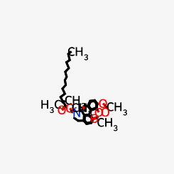 CCCCCCCCCCCCC(C)(C)C(=O)OC[N+]1(C)CCc2cccc3c2[C@@H]1Cc1ccc(OC(C)=O)c(OC(C)=O)c1-3